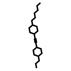 CCCCCCC1CCC(C#CC2CCC(CCC)CC2)CC1